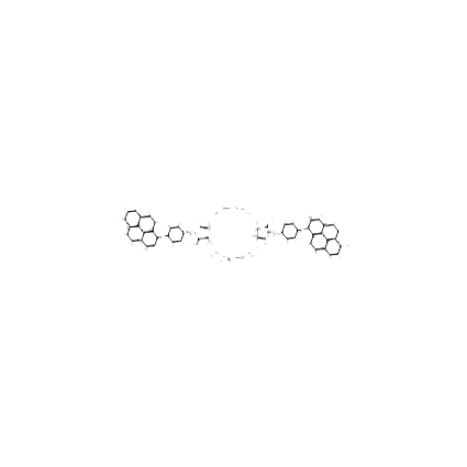 C=C1OCCOCCOC(C(=O)Nc2ccc(-c3ccc4ccc5cccc6ccc3c4c56)cc2)C(=C)OCCOCCOC1C(=O)Nc1ccc(-c2ccc3ccc4cccc5ccc2c3c45)cc1